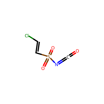 O=C=NS(=O)(=O)C=CCl